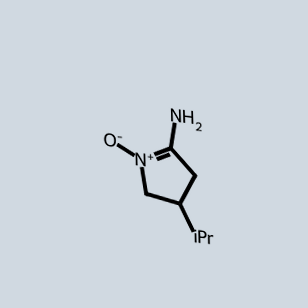 CC(C)C1CC(N)=[N+]([O-])C1